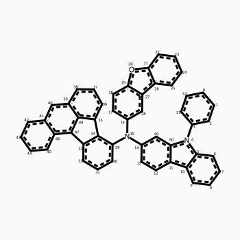 c1ccc(-n2c3ccccc3c3ccc(N(c4ccc5oc6ccccc6c5c4)c4cccc5c4-c4cccc6cc7ccccc7c-5c46)cc32)cc1